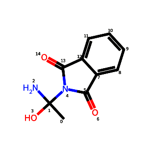 CC(N)(O)N1C(=O)c2ccccc2C1=O